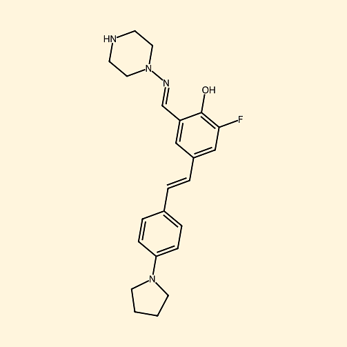 Oc1c(F)cc(/C=C/c2ccc(N3CCCC3)cc2)cc1/C=N/N1CCNCC1